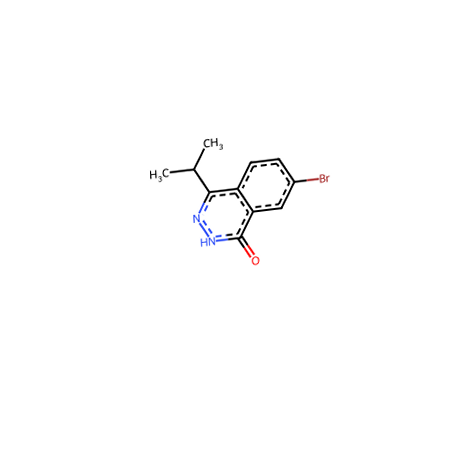 CC(C)c1n[nH]c(=O)c2cc(Br)ccc12